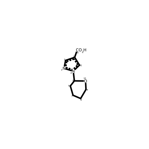 O=C(O)c1cnn(C2CCCCO2)c1